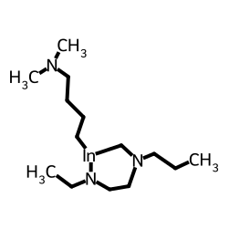 CCCN1CC[N](CC)[In]([CH2]CCCN(C)C)[CH2]1